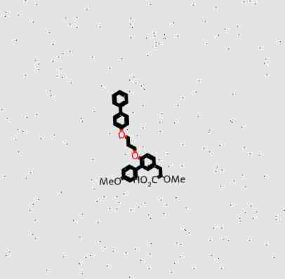 COc1ccc(-c2cc(C[C@H](OC)C(=O)O)ccc2OCCCOc2ccc(-c3ccccc3)cc2)cc1